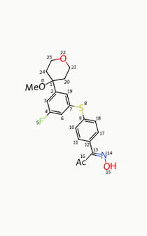 COC1(c2cc(F)cc(Sc3ccc(C(=NO)C(C)=O)cc3)c2)CCOCC1